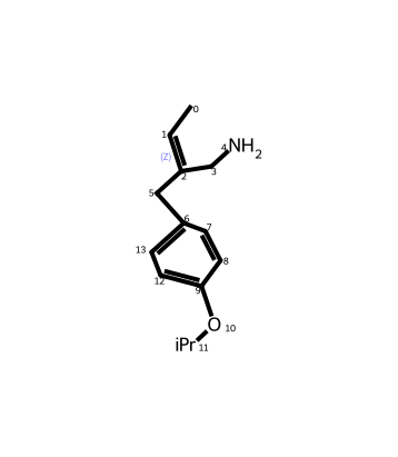 C/C=C(\CN)Cc1ccc(OC(C)C)cc1